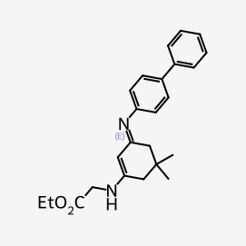 CCOC(=O)CNC1=C/C(=N/c2ccc(-c3ccccc3)cc2)CC(C)(C)C1